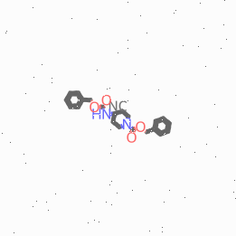 [C-]#[N+]C1(NC(=O)OCc2ccccc2)CCN(C(=O)OCc2ccccc2)CC1